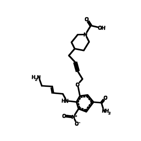 NCC=CCNc1c(OCC#CCC2CCN(C(=O)O)CC2)cc(C(N)=O)cc1[N+](=O)[O-]